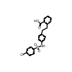 O=C(O)c1ccccc1CCc1ccc(NS(=O)(=O)c2ccc(Cl)cc2)cc1